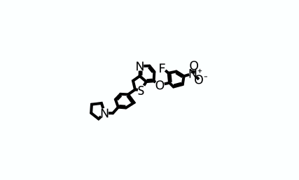 O=[N+]([O-])c1ccc(Oc2ccnc3c2SC(c2ccc(CN4CCCC4)cc2)C3)c(F)c1